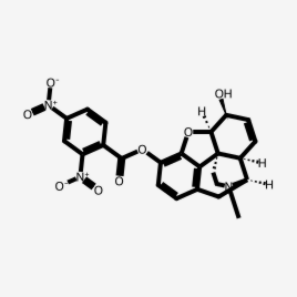 CN1CC[C@]23c4c5ccc(OC(=O)c6ccc([N+](=O)[O-])cc6[N+](=O)[O-])c4O[C@H]2[C@@H](O)C=C[C@H]3[C@H]1C5